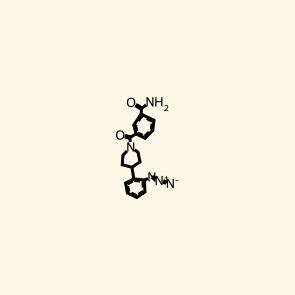 [N-]=[N+]=Nc1ccccc1C1CCN(C(=O)c2cccc(C(N)=O)c2)CC1